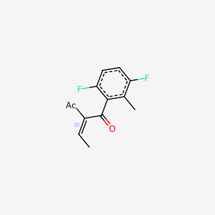 C/C=C(/C(C)=O)C(=O)c1c(F)ccc(F)c1C